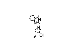 C#CC1CCN(Cc2nc(C)c3ccccc3n2)CC1O